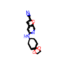 N#Cc1cc2cc(NC3CCC4(CC3)OCCO4)ncc2o1